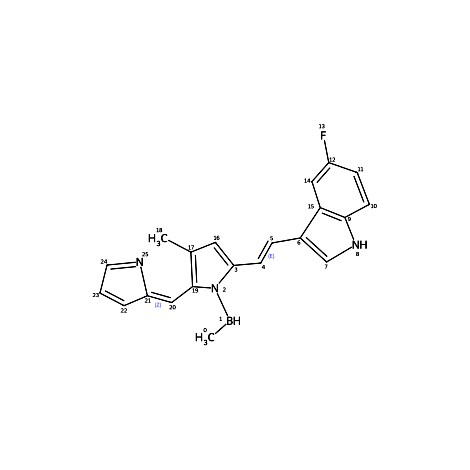 CBn1c(/C=C/c2c[nH]c3ccc(F)cc23)cc(C)c1/C=C1/C=CC=N1